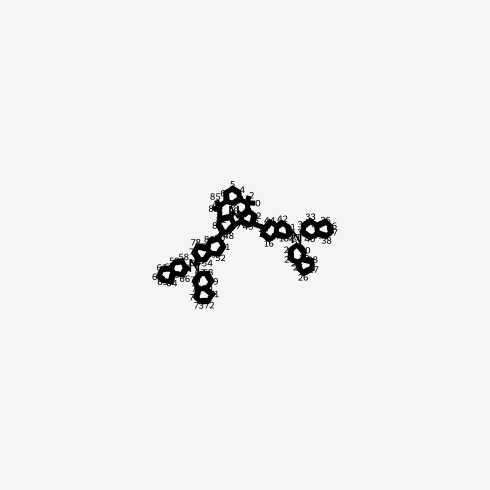 CC1(C)c2cccc3c2-n2c4c1cc(-c1ccc5cc(N(c6ccc7ccccc7c6)c6ccc7ccccc7c6)ccc5c1)cc4c1cc(-c4ccc5cc(N(c6ccc7ccccc7c6)c6ccc7ccccc7c6)ccc5c4)cc(c12)C3(C)C